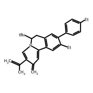 C=C(C)C1=CN2C(=CC1=C)c1cc(CC)c(-c3ccc(CC)cc3)cc1CC2C(C)(C)C